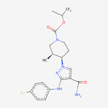 CC(OC(=O)N1CC[C@@H](n2cc(C(N)=O)c(Nc3ccc(F)cc3)n2)[C@@H](C#N)C1)C(F)(F)F